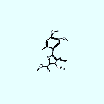 C=Cc1c(-c2cc(OC)c(OC)cc2C)sc(C(=O)OC)c1N